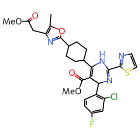 COC(=O)Cc1nc(C2CCC(C3=C(C(=O)OC)C(c4ccc(F)cc4Cl)N=C(c4nccs4)N3)CC2)oc1C